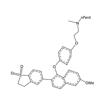 CCCCCN(C)CCOc1ccc(Oc2c(-c3ccc4c(c3)CCS4(=O)=O)ccc3cc(OC)ccc23)cc1